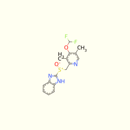 Cc1cnc(C[S+]([O-])c2nc3ccccc3[nH]2)c(C)c1OC(F)F